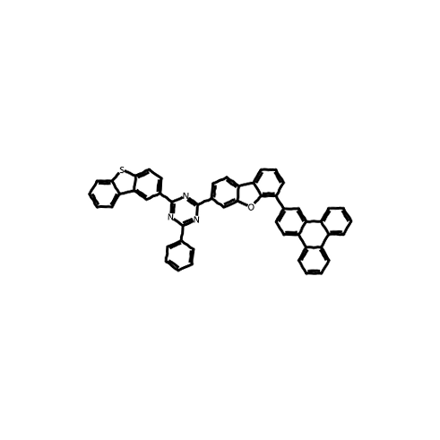 c1ccc(-c2nc(-c3ccc4c(c3)oc3c(-c5ccc6c7ccccc7c7ccccc7c6c5)cccc34)nc(-c3ccc4sc5ccccc5c4c3)n2)cc1